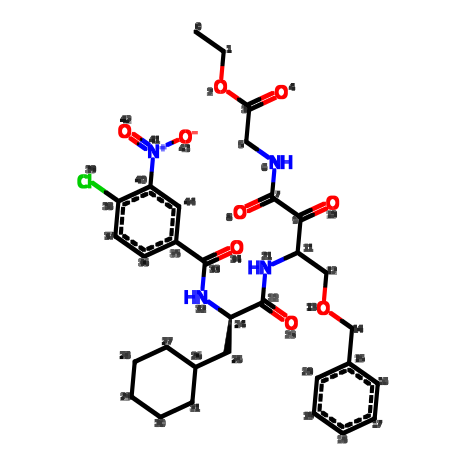 CCOC(=O)CNC(=O)C(=O)C(COCc1ccccc1)NC(=O)[C@@H](CC1CCCCC1)NC(=O)c1ccc(Cl)c([N+](=O)[O-])c1